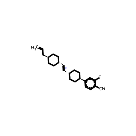 C=CC[C@H]1CC[C@H](/C=C/[C@H]2CC[C@H](c3ccc(C#N)c(F)c3)CC2)CC1